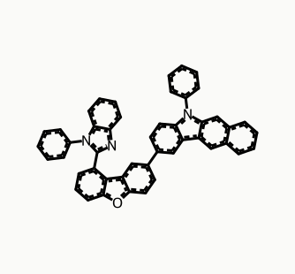 c1ccc(-n2c(-c3cccc4oc5ccc(-c6ccc7c(c6)c6cc8ccccc8cc6n7-c6ccccc6)cc5c34)nc3ccccc32)cc1